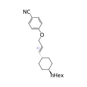 CCCCCC[C@H]1CC[C@H](/C=C/COc2ccc(C#N)cc2)CC1